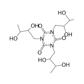 CC(O)C(O)Cn1c(=O)n(CC(O)C(C)O)c(=O)n(CC(O)C(C)O)c1=O